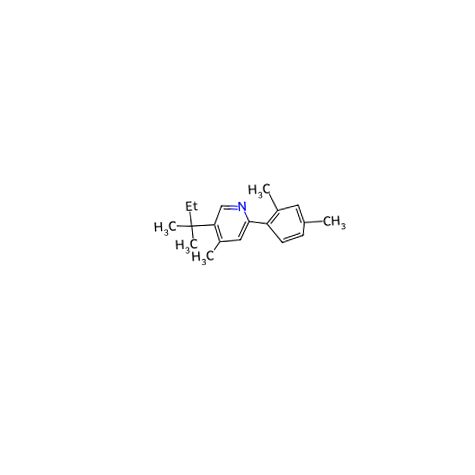 CCC(C)(C)c1cnc(-c2ccc(C)cc2C)cc1C